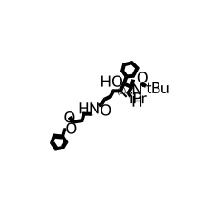 CC(C)CC(C)(NC(=O)C(C)(C)C)C(O)(C1CCCCC1)[C@@H](C)CCCC(=O)NCCCC(=O)OCc1ccccc1